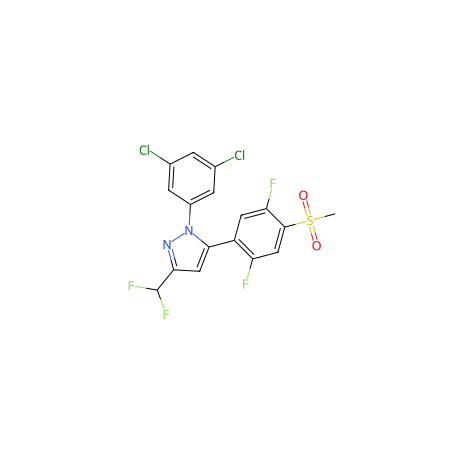 CS(=O)(=O)c1cc(F)c(-c2cc(C(F)F)nn2-c2cc(Cl)cc(Cl)c2)cc1F